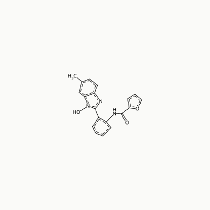 Cc1ccc2nc(-c3ccccc3NC(=O)c3ccco3)n(O)c2c1